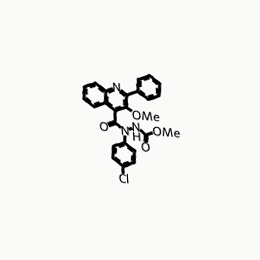 COC(=O)NN(C(=O)c1c(OC)c(-c2ccccc2)nc2ccccc12)c1ccc(Cl)cc1